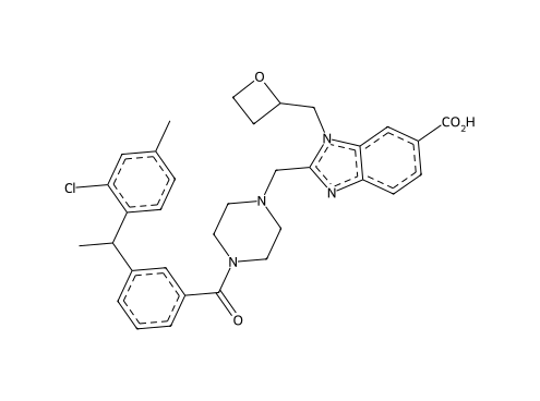 Cc1ccc(C(C)c2cccc(C(=O)N3CCN(Cc4nc5ccc(C(=O)O)cc5n4CC4CCO4)CC3)c2)c(Cl)c1